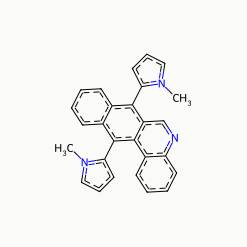 Cn1cccc1-c1c2ccccc2c(-c2cccn2C)c2c1cnc1ccccc12